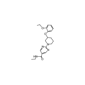 CCNC(=O)c1cnc(N2CCCC(Oc3ccccc3OCC)C2)nc1